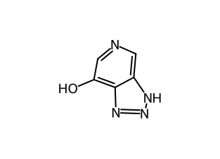 Oc1cncc2[nH]nnc12